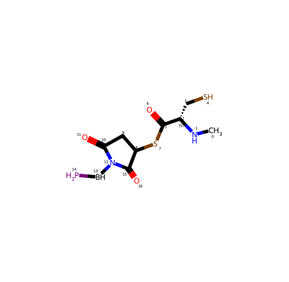 CN[C@@H](CS)C(=O)SC1CC(=O)N(BP)C1=O